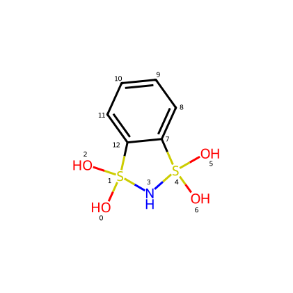 OS1(O)NS(O)(O)c2ccccc21